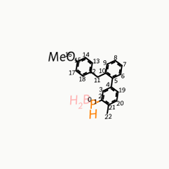 BPc1cc(-c2ccccc2Cc2ccc(OC)cc2)ccc1C